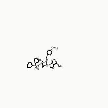 COc1ccc(CO[C@H]2C(O)[C@]3(CO[Si](c4ccccc4)(c4ccccc4)C(C)(C)C)CC3[C@H]2n2cnc3c(N)ncnc32)cc1